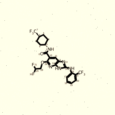 O=C(N[C@H]1CC[C@H](C(F)(F)F)CC1)c1cc2nc(Nc3ccccc3C(F)(F)F)[nH]c2nc1OCC(F)F